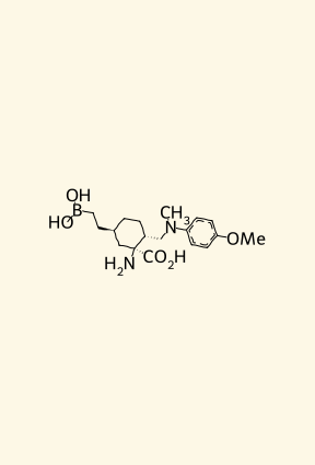 COc1ccc(N(C)C[C@H]2CC[C@H](CCB(O)O)C[C@@]2(N)C(=O)O)cc1